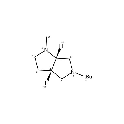 CN1CC[C@H]2CN(C(C)(C)C)C[C@H]21